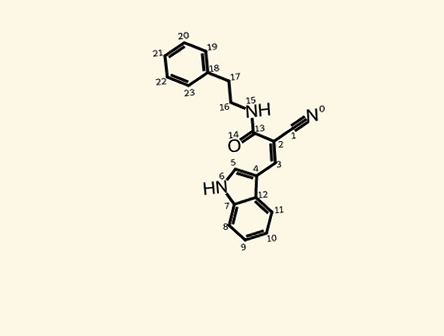 N#C/C(=C/c1c[nH]c2ccccc12)C(=O)NCCc1ccccc1